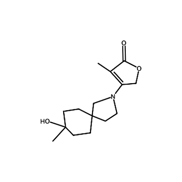 CC1=C(N2CCC3(CCC(C)(O)CC3)C2)COC1=O